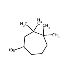 CC(C)(C)N1CCCC(C)(C)C(C)(C)C1